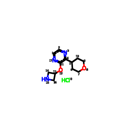 Cl.c1cnc(C2CCOCC2)c(OC2CNC2)n1